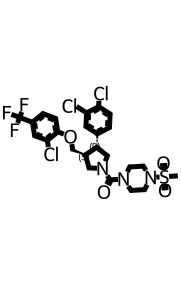 CS(=O)(=O)N1CCN(C(=O)N2C[C@@H](COc3ccc(C(F)(F)F)cc3Cl)[C@H](c3ccc(Cl)c(Cl)c3)C2)CC1